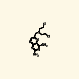 Nc1nc(N)c2nc(CN(CCCl)CCCl)cnc2n1